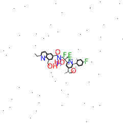 CCc1ccc2cc(C(=O)NC[C@](O)(c3cc4c(c(-c5ccc(F)cc5)n3)OC[C@H]4C)C(F)(F)F)cc(CO)c2n1